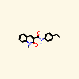 CCc1ccc(NC(=O)c2cc3ccccc3n(C)c2=O)cc1